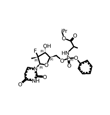 CC(C)OC(=O)C(C)N[P@@](=O)(OC[C@H]1O[C@@H](n2ccc(=O)[nH]c2=O)[C@](C)(F)[C@@H]1O)Oc1ccccc1